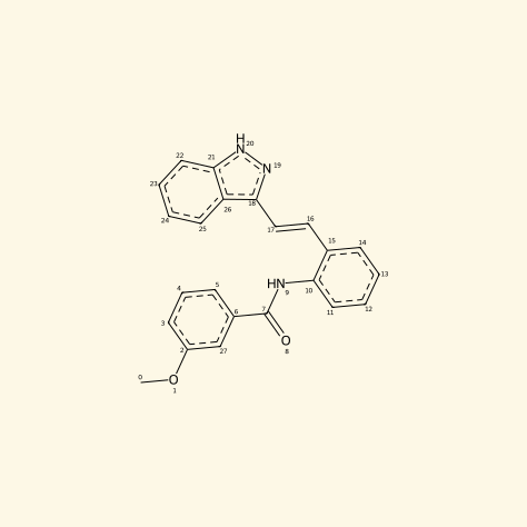 COc1cccc(C(=O)Nc2ccccc2C=Cc2n[nH]c3ccccc23)c1